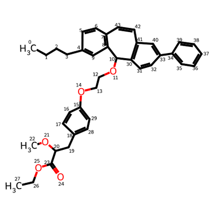 CCCCc1ccc2c(c1)C(OCCOc1ccc(CC(OC)C(=O)OCC)cc1)c1ccc(-c3ccccc3)cc1C=C2